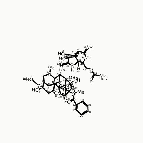 CCN1C[C@]2(COC)[C@H](O)C[C@H](OC)[C@]34C1[C@H]([C@H](OC)[C@H]23)[C@]1(OC(C)=O)[C@H]2[C@@H](OC(=O)c3ccccc3)[C@](O)(C[C@H]24)[C@@H](OC)[C@@H]1O.N=C1N[C@H]2C(COC(N)=O)NC(=N)C3CCC(O)(O)[C@@]32N1